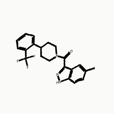 Cc1ccc2[nH]nc(C(=O)N3CCC(c4ccccc4C(F)(F)F)CC3)c2c1